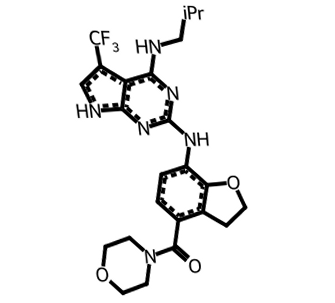 CC(C)CNc1nc(Nc2ccc(C(=O)N3CCOCC3)c3c2OCC3)nc2[nH]cc(C(F)(F)F)c12